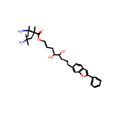 CC(C)(N)CC(C)(C(=O)OCCCC(O)C(O)CCCc1ccc2cc(-c3ccccc3)oc2c1)C(C)(C)N